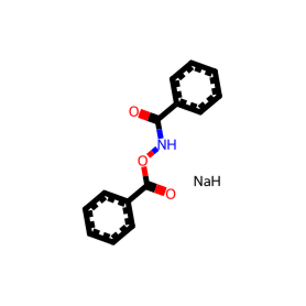 O=C(NOC(=O)c1ccccc1)c1ccccc1.[NaH]